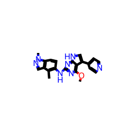 COc1nc(Nc2ccc3c(cnn3C)c2C)nc2[nH]cc(-c3ccncc3)c12